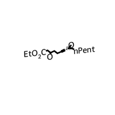 CCCCCC1O[C@H]1C#CCCC(=O)CC(=O)OCC